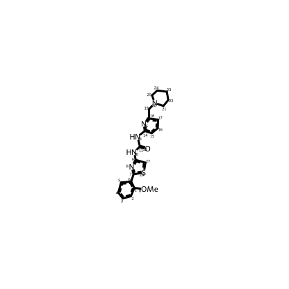 COc1ccccc1-c1nc(NC(=O)Nc2cccc(CN3CCCCC3)n2)cs1